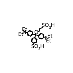 CCN(CC)c1ccc(C(OCCCS(=O)(=O)O)(c2ccc(N(CC)CC)cc2)c2ccc(S(=O)(=O)O)cc2)cc1